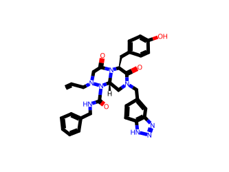 C=CCN1CC(=O)N2[C@@H](Cc3ccc(O)cc3)C(=O)N(Cc3ccc4[nH]nnc4c3)C[C@@H]2N1C(=O)NCc1ccccc1